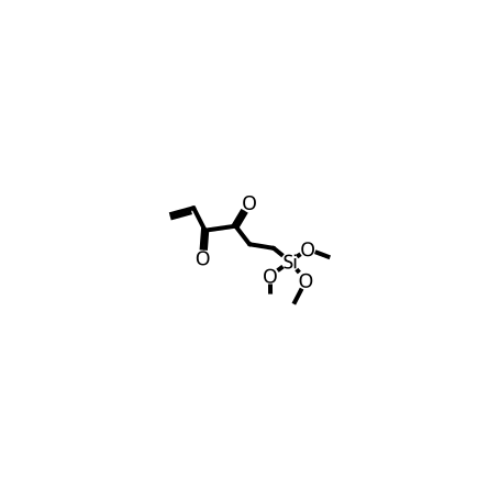 C=CC(=O)C(=O)CC[Si](OC)(OC)OC